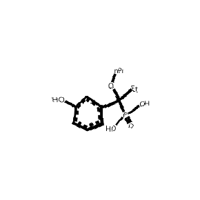 CCCOC(CC)(c1cccc(O)c1)P(=O)(O)O